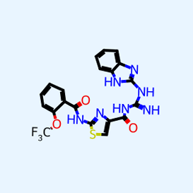 N=C(NC(=O)c1csc(NC(=O)c2ccccc2OC(F)(F)F)n1)Nc1nc2ccccc2[nH]1